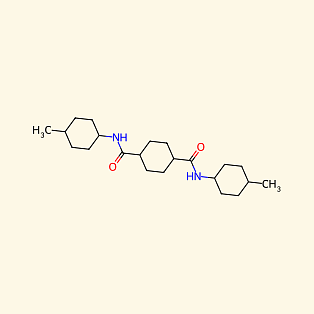 CC1CCC(NC(=O)C2CCC(C(=O)NC3CCC(C)CC3)CC2)CC1